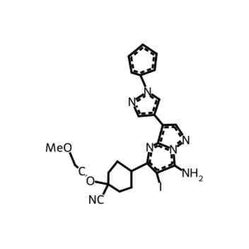 COCCOC1(C#N)CCC(c2nc3c(-c4cnn(-c5ccccc5)c4)cnn3c(N)c2I)CC1